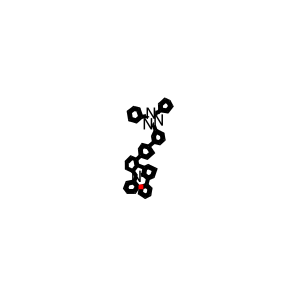 C1=CC(c2ccc(-c3cccc(-c4nc(-c5ccccc5)nc(-c5ccccc5)n4)c3)cc2)=C2c3cccc(-c4ccccc4)c3N(c3ccccc3)C2C1